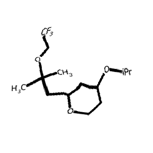 CC(C)OC1CCOC(CC(C)(C)OCC(F)(F)F)C1